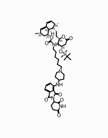 C[C@H]1C=C2C=C[C@H](C)[C@H](CC[C@@H]3C[C@@H](O[Si](C)(C)C(C)(C)C)CC(=O)O3)[C@H]2[C@@H](OC(=O)NCCCCCCN2CCC(Nc3cccc4c3C(=O)N(C3CCC(=O)NC3=O)C4=O)CC2)C1